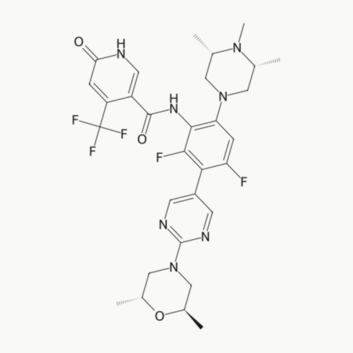 C[C@@H]1CN(c2ncc(-c3c(F)cc(N4C[C@@H](C)N(C)[C@@H](C)C4)c(NC(=O)c4c[nH]c(=O)cc4C(F)(F)F)c3F)cn2)C[C@@H](C)O1